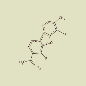 C=C(C)c1ccc2c(oc3c(F)c(C)ccc32)c1F